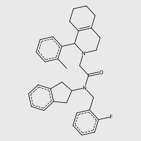 Cc1ccccc1C1C2=C(CCCC2)CCN1CC(=O)N(Cc1ccccc1F)C1Cc2ccccc2C1